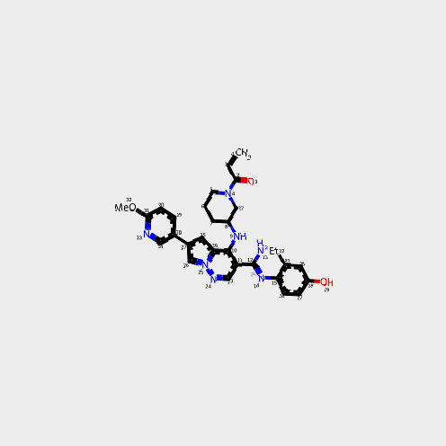 C=CC(=O)N1CCCC(Nc2c(/C(N)=N/c3ccc(O)cc3CC)cnn3cc(-c4ccc(OC)nc4)cc23)C1